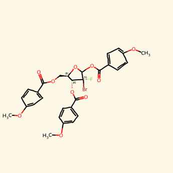 COc1ccc(C(=O)OC[C@H]2OC(OC(=O)c3ccc(OC)cc3)[C@@](F)(Br)[C@@H]2OC(=O)c2ccc(OC)cc2)cc1